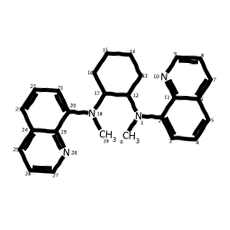 CN(c1cccc2cccnc12)C1CCCCC1N(C)c1cccc2cccnc12